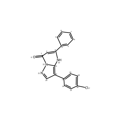 O=c1cc(-c2ccccc2)[nH]c2c(-c3ccc(Cl)cc3)cnn12